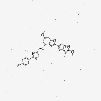 COC1=Cc2oc(-c3cn4nc(OC)sc4n3)cc2C(OCC2CSC(c3ccc(F)cc3)=N2)C1